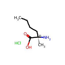 CCCC[C@@](C)(N)C(=O)O.Cl